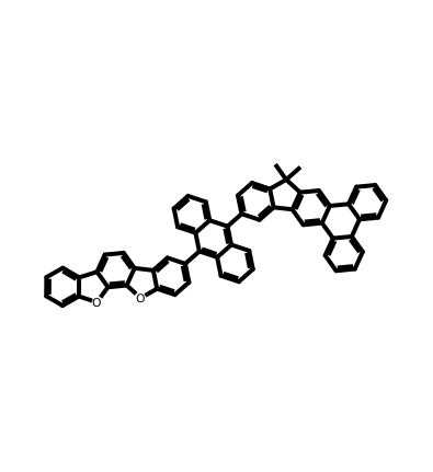 CC1(C)c2ccc(-c3c4ccccc4c(-c4ccc5oc6c(ccc7c8ccccc8oc76)c5c4)c4ccccc34)cc2-c2cc3c4ccccc4c4ccccc4c3cc21